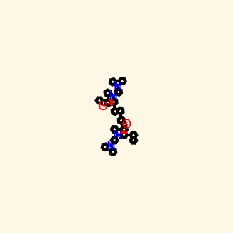 c1cc(N(c2ccc(-c3cccc4c(-c5ccc6c(c5)oc5cccc(-c7ccccc7N(c7ccc(-c8cccc9ccccc89)cc7)c7ccc(-n8c9ccccc9c9ccccc98)cc7)c56)cccc34)cc2)c2ccccc2-c2cccc3oc4ccccc4c23)cc(-n2c3ccccc3c3ccccc32)c1